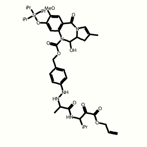 C=CCOC(=O)C(=O)C(NC(=O)C(C)NNc1ccc(COC(=O)N2c3cc(O[Si](C(C)C)(C(C)C)C(C)C)c(OC)cc3C(=O)N3C=C(C)CC3C2O)cc1)C(C)C